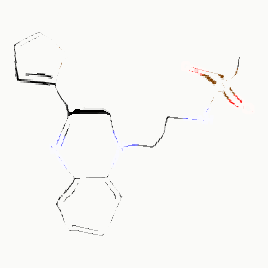 CS(=O)(=O)NCCN1CC(c2cccs2)=Nc2ccccc21